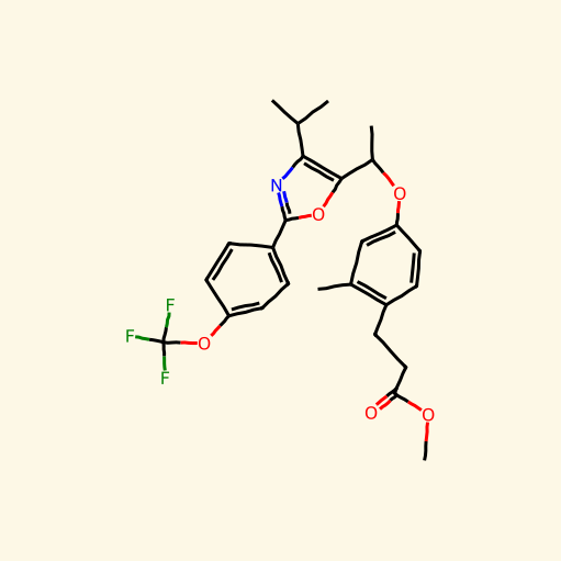 COC(=O)CCc1ccc(OC(C)c2oc(-c3ccc(OC(F)(F)F)cc3)nc2C(C)C)cc1C